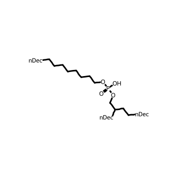 CCCCCCCCCCCCCCCCCCOP(=O)(O)OCC(CCCCCCCCCC)CCCCCCCCCCCC